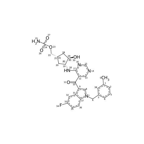 Cc1cccc(Cn2cc(C(=O)c3cncnc3N[C@@H]3C[C@H](COS(N)(=O)=O)C[C@H]3O)c3cc(F)ccc32)c1